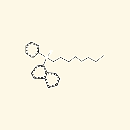 CCCCCCCC[N+]([S-])(c1ccccc1)c1cccc2ccccc12